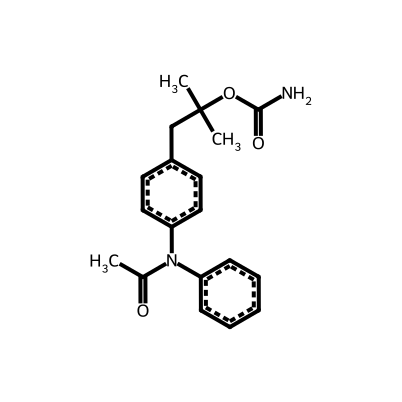 CC(=O)N(c1ccccc1)c1ccc(CC(C)(C)OC(N)=O)cc1